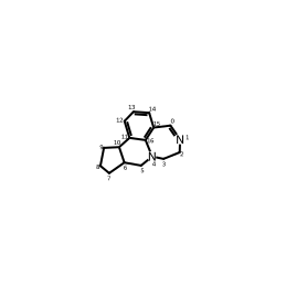 C1=NCCN2CC3CCCC3c3cccc1c32